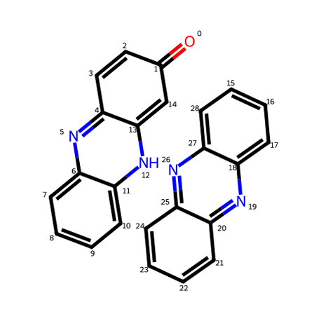 O=c1ccc2nc3ccccc3[nH]c-2c1.c1ccc2nc3ccccc3nc2c1